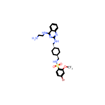 NCCNc1nc(NC[C@H]2CC[C@H](CNS(=O)(=O)c3ccc(Br)cc3OC(F)(F)F)CC2)nc2ccccc12